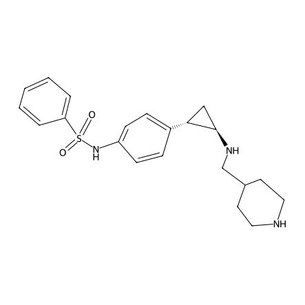 O=S(=O)(Nc1ccc([C@@H]2C[C@H]2NCC2CCNCC2)cc1)c1ccccc1